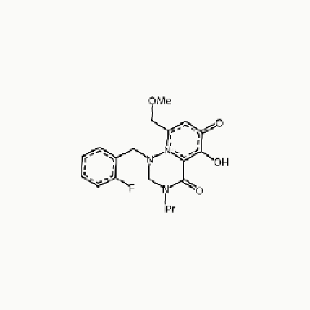 COCc1cc(=O)c(O)c2n1N(Cc1ccccc1F)CN(C(C)C)C2=O